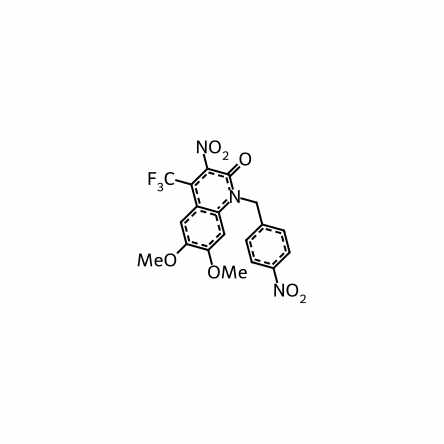 COc1cc2c(C(F)(F)F)c([N+](=O)[O-])c(=O)n(Cc3ccc([N+](=O)[O-])cc3)c2cc1OC